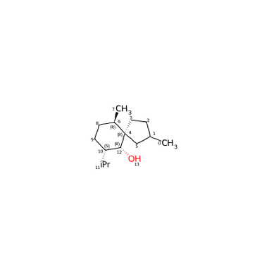 CC1CC[C@@]2(C1)[C@H](C)CC[C@@H](C(C)C)[C@H]2O